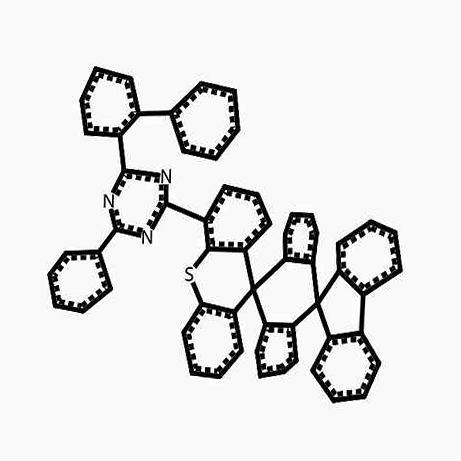 c1ccc(-c2nc(-c3ccccc3-c3ccccc3)nc(-c3cccc4c3Sc3ccccc3C43c4ccccc4C4(c5ccccc5-c5ccccc54)c4ccccc43)n2)cc1